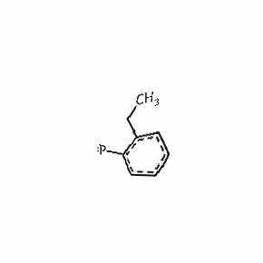 CCc1ccccc1[P]